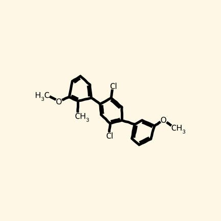 COc1cccc(-c2cc(Cl)c(-c3cccc(OC)c3C)cc2Cl)c1